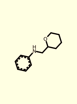 c1ccc(NCC2CCCCO2)cc1